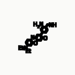 CCN(CC)c1ccc2nc3cc(-c4ccc(C=N)c(N)c4)c(=O)cc-3oc2c1